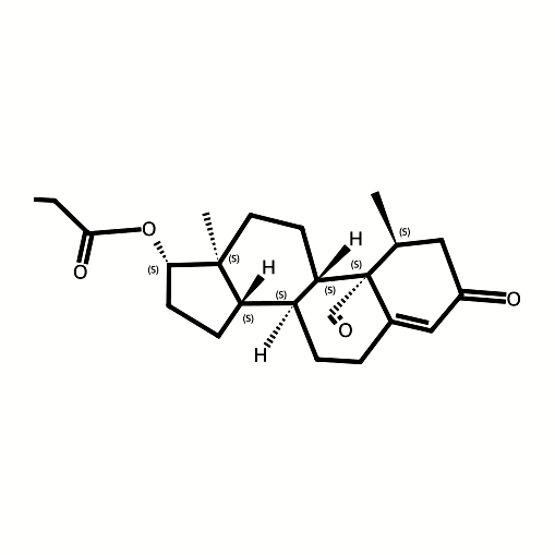 CCC(=O)O[C@H]1CC[C@H]2[C@@H]3CCC4=CC(=O)C[C@H](C)[C@]4(C=O)[C@H]3CC[C@]12C